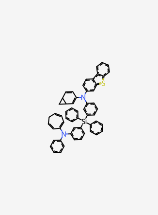 C1=CCC=CC(N(c2ccccc2)c2cccc([Si](c3ccccc3)(c3ccccc3)c3cccc(N(C4=CC5CC5C=C4)c4ccc5c(c4)sc4ccccc45)c3)c2)=C1